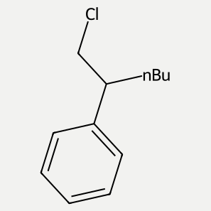 CCCCC(CCl)c1ccccc1